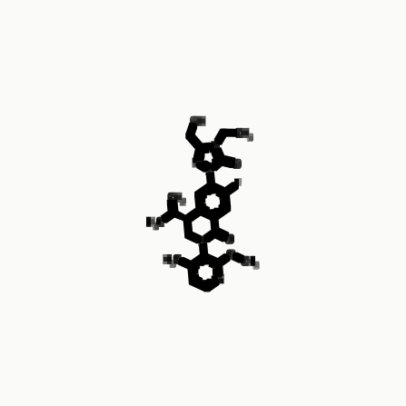 C=C(C)[C@@H]1CN(c2c(C)ccnc2OC)C(=O)c2cc(F)c(-n3nc(CO)n(CC)c3=O)cc21